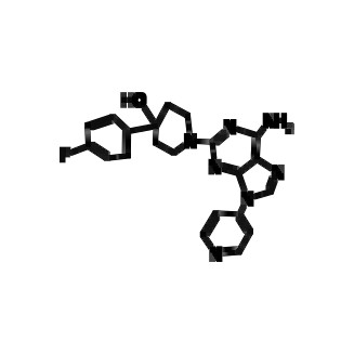 Nc1nc(N2CCC(O)(c3ccc(F)cc3)CC2)nc2c1ncn2-c1ccncc1